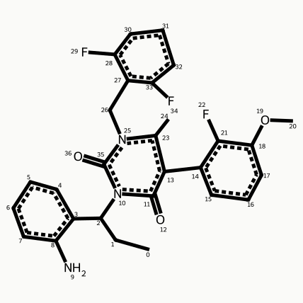 CCC(c1ccccc1N)n1c(=O)c(-c2cccc(OC)c2F)c(C)n(Cc2c(F)cccc2F)c1=O